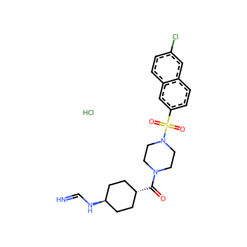 Cl.N=CN[C@H]1CC[C@H](C(=O)N2CCN(S(=O)(=O)c3ccc4cc(Cl)ccc4c3)CC2)CC1